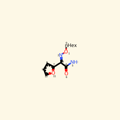 CCCCCCON=C(C([NH])=O)c1ccco1